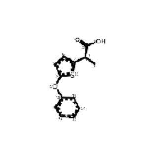 CC(C(=O)O)c1ccc(Oc2ccccc2)s1